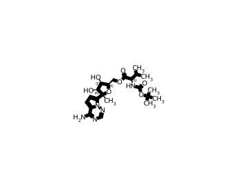 CC(C)[C@H](NC(=O)OC(C)(C)C)C(=O)OC[C@H]1O[C@@](C)(c2ccc3c(N)ncnn23)[C@H](O)[C@@H]1O